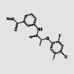 COC(=O)c1cccc(NC(=O)C(C)Oc2cc(C)c(Cl)cc2Cl)c1